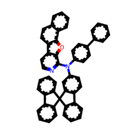 c1ccc(-c2ccc(N(c3ccc4c(c3)C3(c5ccccc5-c5ccccc53)c3ccccc3-4)c3nccc4c3oc3c5ccccc5ccc43)cc2)cc1